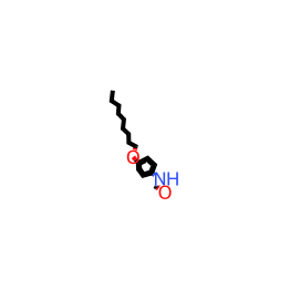 CCCCCCCCCOc1ccc(NC=O)cc1